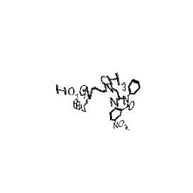 CN(CCN(CC(C)(C)C)C(=O)O)Cc1nc2ccc([N+](=O)[O-])cc2c(=O)n1-c1ccccc1